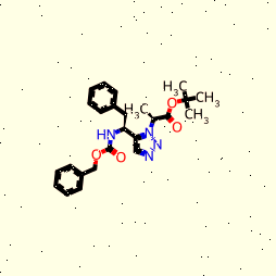 C[C@@H](C(=O)OC(C)(C)C)n1nncc1[C@H](Cc1ccccc1)NC(=O)OCc1ccccc1